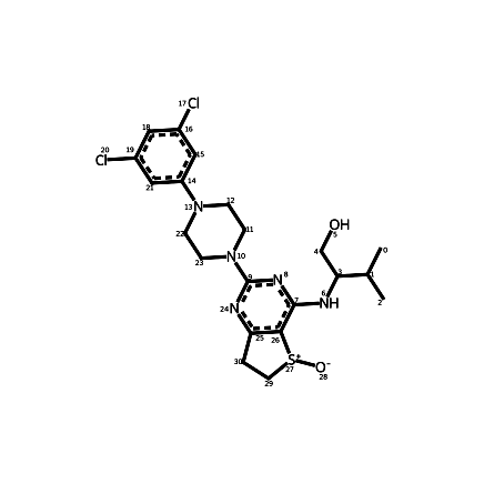 CC(C)C(CO)Nc1nc(N2CCN(c3cc(Cl)cc(Cl)c3)CC2)nc2c1[S+]([O-])CC2